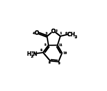 CC1OC(=O)c2c(N)cccc21